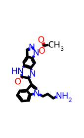 CC(=O)On1ncc2cc3[nH]c(=O)c(-c4cn(CCCN)c5ccccc45)nc3cc21